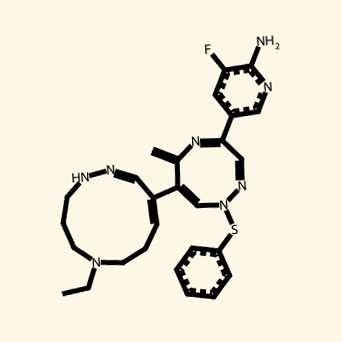 C=C1/N=C(c2cnc(N)c(F)c2)\C=N/N(Sc2ccccc2)/C=C1/C1=C/CCN(CC)CCCN/N=C\1